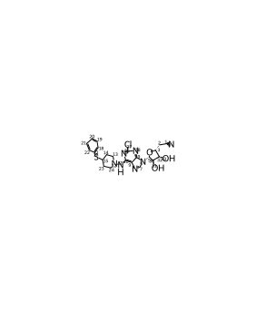 N#CC[C@H]1O[C@@H](n2cnc3c(NN4CCC(Sc5ccccc5)CC4)nc(Cl)nc32)[C@H](O)[C@@H]1O